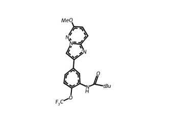 COc1ccc2nc(-c3ccc(OC(F)(F)F)c(NC(=O)C(C)(C)C)c3)cn2n1